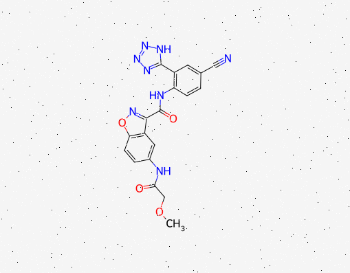 COCC(=O)Nc1ccc2onc(C(=O)Nc3ccc(C#N)cc3-c3nnn[nH]3)c2c1